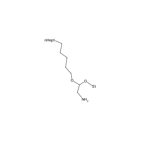 CCCCCCCCCCCCOC(CN)OCC